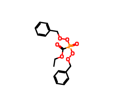 CCOC(=O)P(=O)(OOCc1ccccc1)OOCc1ccccc1